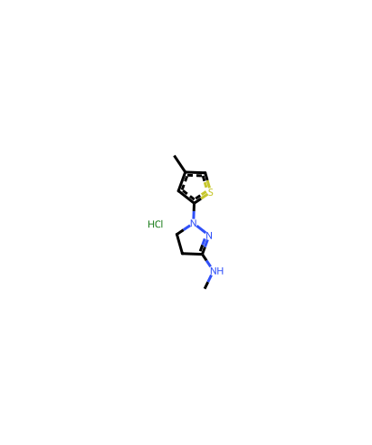 CNC1=NN(c2cc(C)cs2)CC1.Cl